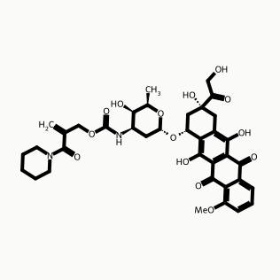 C=C(COC(=O)N[C@@H]1C[C@@H](O[C@@H]2C[C@@](O)(C(=O)CO)Cc3c(O)c4c(c(O)c32)C(=O)c2c(OC)cccc2C4=O)O[C@H](C)[C@@H]1O)C(=O)N1CCCCC1